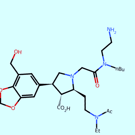 CCCCN(CCN)C(=O)CN1C[C@H](c2cc(CO)c3c(c2)OCO3)[C@@H](C(=O)O)[C@@H]1CCN(CC)C(C)=O